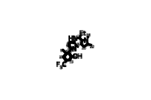 CCC(Nc1ccc(-c2c(C)cc(C(F)(F)F)cc2O)nn1)C1CCC(C)N1C